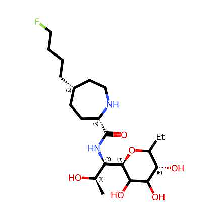 CCC1O[C@H]([C@H](NC(=O)[C@@H]2CC[C@H](CCCCF)CCN2)[C@@H](C)O)C(O)C(O)[C@H]1O